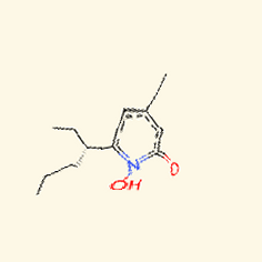 CCC[C@H](CC)c1cc(C)cc(=O)n1O